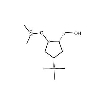 C[SiH](C)ON1C[C@@H](C(C)(C)C)C[C@H]1CO